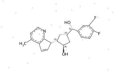 Cc1ccnc2c1C=CC2[C@@H]1C[C@H]([C@H](O)c2ccc(F)c(F)c2)C[C@H]1O